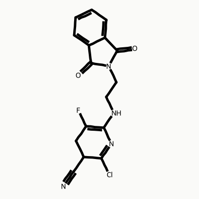 N#CC1CC(F)=C(NCCN2C(=O)c3ccccc3C2=O)N=C1Cl